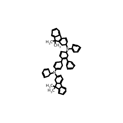 CC1(C)C2=C(C=CC(N(c3ccccc3)C3C=CC(C4C=CC(N(C5=CC=C6c7ccccc7C(C)(C)C6C5)C5C=CC=CC5)=CC4)=C(c4ccccc4)C3)C2)c2ccccc21